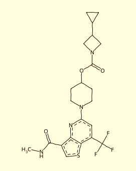 CNC(=O)c1csc2c(C(F)(F)F)cc(N3CCC(OC(=O)N4CC(C5CC5)C4)CC3)nc12